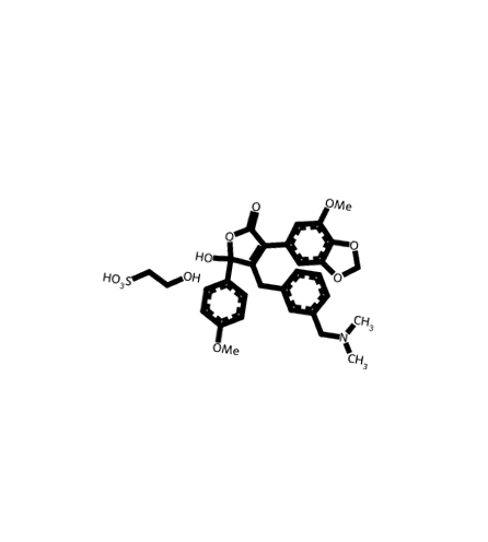 COc1ccc(C2(O)OC(=O)C(c3cc(OC)c4c(c3)OCO4)=C2Cc2cccc(CN(C)C)c2)cc1.O=S(=O)(O)CCO